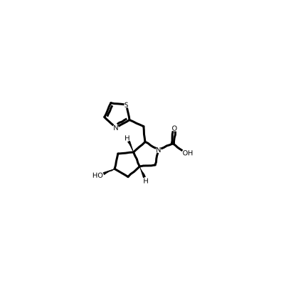 O=C(O)N1C[C@@H]2C[C@@H](O)C[C@@H]2C1Cc1nccs1